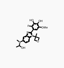 COc1cc(-c2nc3cc(N(C)C(C)O)ccc3n2C2(C)COC2)c(F)c(O)c1O